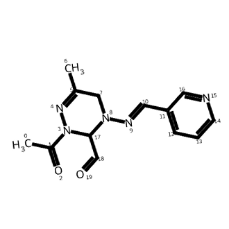 CC(=O)N1N=C(C)CN(N=Cc2cccnc2)C1C=O